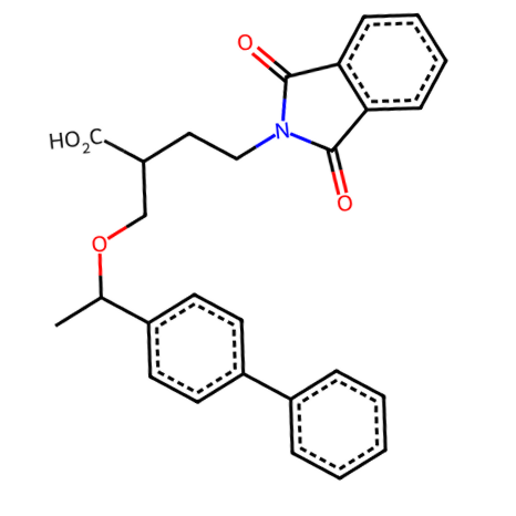 CC(OCC(CCN1C(=O)c2ccccc2C1=O)C(=O)O)c1ccc(-c2ccccc2)cc1